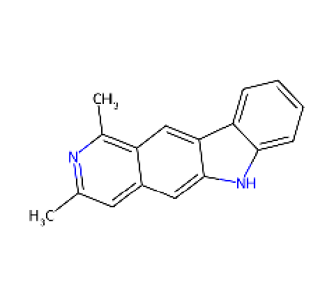 Cc1cc2cc3[nH]c4ccccc4c3cc2c(C)n1